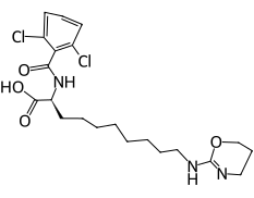 O=C(N[C@@H](CCCCCCCCNC1=NCCCO1)C(=O)O)c1c(Cl)cccc1Cl